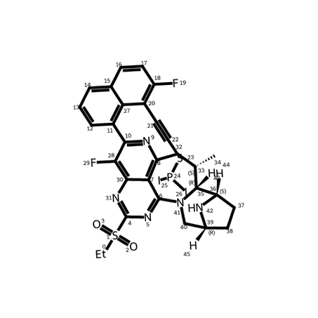 CCS(=O)(=O)c1nc2c3c(nc(-c4cccc5ccc(F)c(C#CSP(I)I)c45)c(F)c3n1)C[C@H](C)[C@@H]1[C@@H]3CC[C@H](CN21)N3